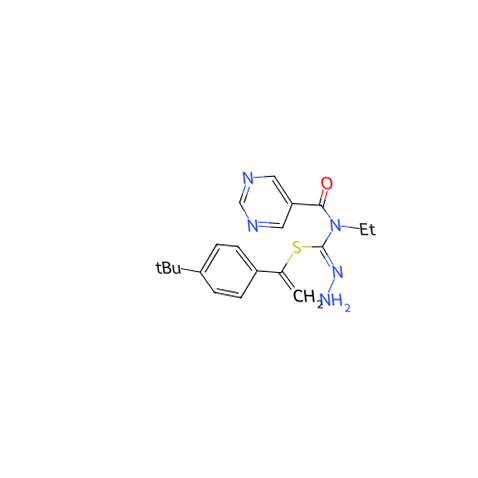 C=C(S/C(=N\N)N(CC)C(=O)c1cncnc1)c1ccc(C(C)(C)C)cc1